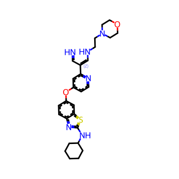 N=C/C(=C\NCCN1CCOCC1)c1cc(Oc2ccc3nc(NC4CCCCC4)sc3c2)ccn1